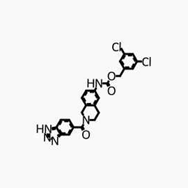 O=C(Nc1ccc2c(c1)CCN(C(=O)c1ccc3[nH]nnc3c1)C2)OCc1cc(Cl)cc(Cl)c1